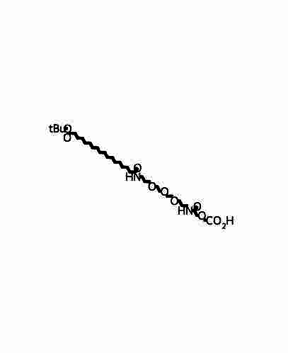 CC(C)(C)OC(=O)CCCCCCCCCCCCCCCCC(=O)NCCCOCCOCCOCCCNC(=O)COCC(=O)O